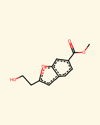 COC(=O)c1ccc2cc(CCO)oc2c1